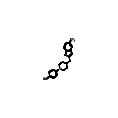 Oc1ccc(N2CCC(Cc3cc4cc(C(F)(F)F)ccc4o3)CC2)cc1